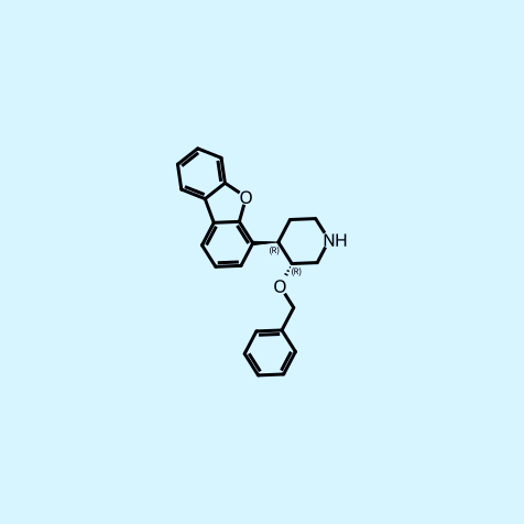 c1ccc(CO[C@H]2CNCC[C@@H]2c2cccc3c2oc2ccccc23)cc1